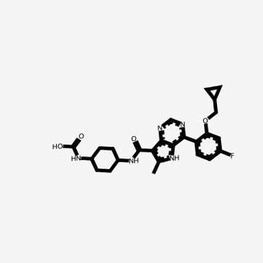 Cc1[nH]c2c(-c3ccc(F)cc3OCC3CC3)ncnc2c1C(=O)NC1CCC(NC(=O)O)CC1